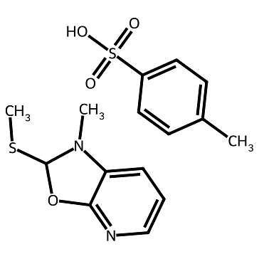 CSC1Oc2ncccc2N1C.Cc1ccc(S(=O)(=O)O)cc1